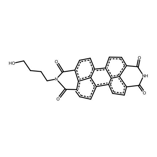 O=C1NC(=O)c2ccc3c4ccc5c6c(ccc(c7ccc1c2c73)c64)C(=O)N(CCCCO)C5=O